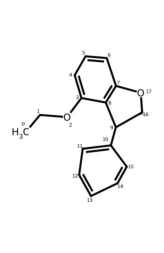 CCOc1cccc2c1C(c1ccccc1)[C]O2